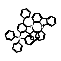 c1ccc(-c2ccc([Si](c3ccccc3)(c3ccccc3)c3ccccc3)c3c4ccccc4n(-c4cccc5c6ccccc6n(-c6ccccc6)c45)c23)cc1